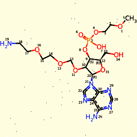 COCCOP(=O)(O)O[C@@H]1C(OCOCCOCCN)[C@H](n2cnc3c(N)ncnc32)O[C@@H]1CO